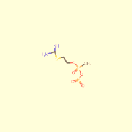 CP(=O)(OCCSC(=N)N)OP(=O)=O